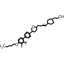 CCCCCOc1ccc(-c2ccc(C3CCC(CC/C=C/C4CCC(CCC)CC4)OC3)cc2)c(F)c1F